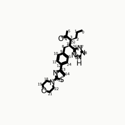 CCC[C@H](C(C)=O)[C@H](Cc1ccc(-c2csc(N3CCOCC3)n2)cc1)c1nn[nH]n1